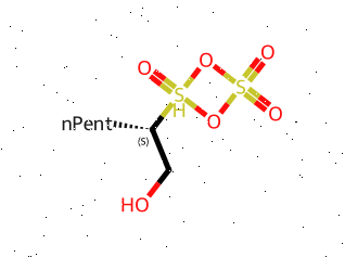 CCCCC[C@@H](CO)[SH]1(=O)OS(=O)(=O)O1